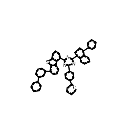 c1ccc(-c2ccc(-c3nc(-c4ccc(-c5ccccc5)c5ccccc45)nc(-c4cccc5sc6c(-c7cccc(-c8ccccc8)c7)cccc6c45)n3)cc2)cc1